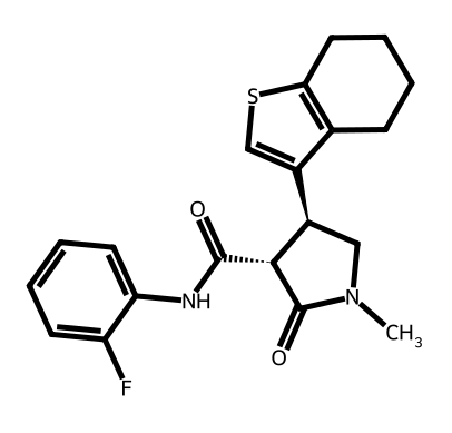 CN1C[C@H](c2csc3c2CCCC3)[C@@H](C(=O)Nc2ccccc2F)C1=O